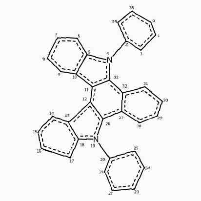 c1ccc(-n2c3ccccc3c3c4c5ccccc5n(-c5ccccc5)c4c4ccccc4c32)cc1